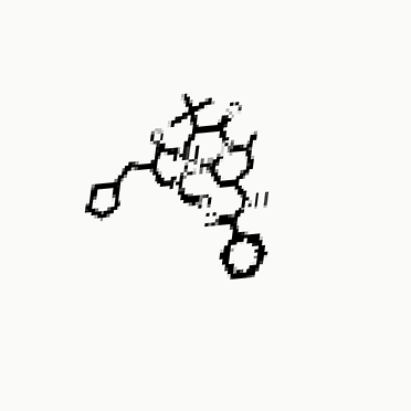 CC(C)(C)C(NC(=O)C(CC1CCCC1)CN(O)C=O)C(=O)N1CCC(NC(=O)c2ccccc2)CC1I